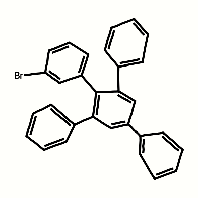 Brc1cccc(-c2c(-c3ccccc3)cc(-c3ccccc3)cc2-c2ccccc2)c1